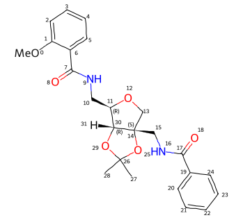 COc1ccccc1C(=O)NC[C@H]1OC[C@]2(CNC(=O)c3ccccc3)OC(C)(C)O[C@H]12